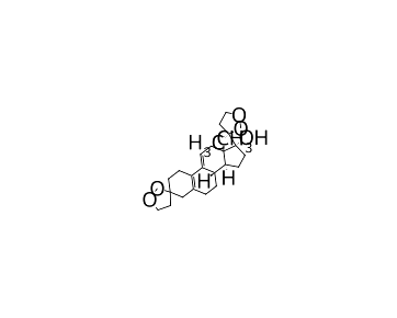 C[C@]1([C@@]2(O)CC[C@H]3[C@@H]4CCC5=C(CCC6(CCOO6)C5)C4=CC[C@@]32C)CCOO1